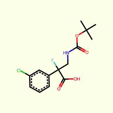 CC(C)(C)OC(=O)NCC(F)(C(=O)O)c1cccc(Cl)c1